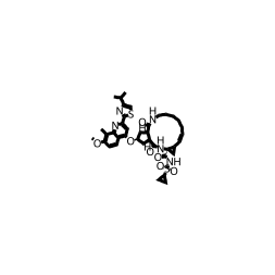 COc1ccc2c(O[C@H]3C[C@H]4C(=O)NCCCCC/C=C\C5C[C@@]5(C(=O)NS(=O)(=O)C5CC5)NC(=O)[C@@H]4C3)cc(-c3nc(C(C)C)cs3)nc2c1C